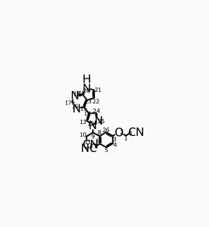 N#CCOc1ccc(C#N)c(C(CC#N)n2cc(-c3ncnc4[nH]ccc34)cn2)c1